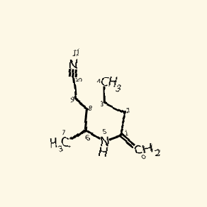 C=C(CCC)NC(C)CCC#N